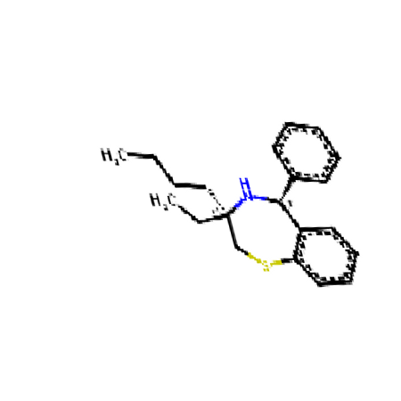 CCCC[C@@]1(CC)CSc2ccccc2[C@H](c2ccccc2)N1